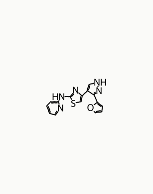 c1ccc(Nc2nc(-c3c[nH]nc3-c3ccco3)cs2)nc1